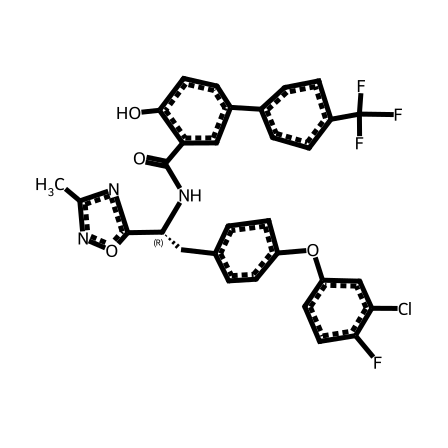 Cc1noc([C@@H](Cc2ccc(Oc3ccc(F)c(Cl)c3)cc2)NC(=O)c2cc(-c3ccc(C(F)(F)F)cc3)ccc2O)n1